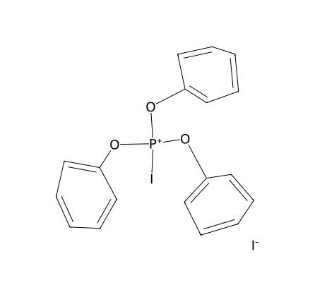 I[P+](Oc1ccccc1)(Oc1ccccc1)Oc1ccccc1.[I-]